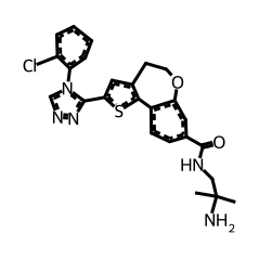 CC(C)(N)CNC(=O)c1ccc2c(c1)OCCc1cc(-c3nncn3-c3ccccc3Cl)sc1-2